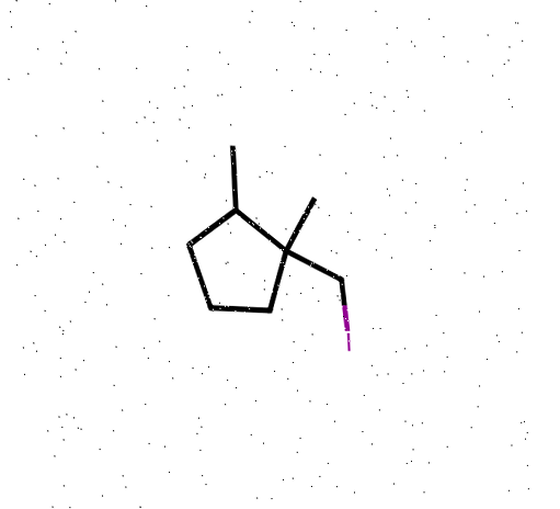 CC1CCCC1(C)CI